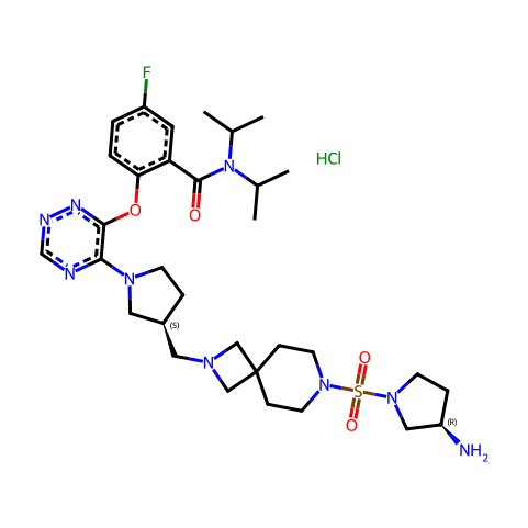 CC(C)N(C(=O)c1cc(F)ccc1Oc1nncnc1N1CC[C@@H](CN2CC3(CCN(S(=O)(=O)N4CC[C@@H](N)C4)CC3)C2)C1)C(C)C.Cl